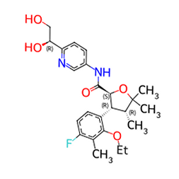 CCOc1c([C@@H]2[C@@H](C(=O)Nc3ccc([C@@H](O)CO)nc3)OC(C)(C)[C@@H]2C)ccc(F)c1C